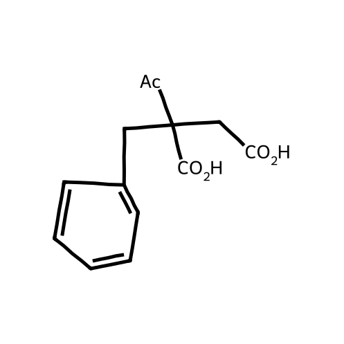 CC(=O)C(CC(=O)O)(Cc1ccccc1)C(=O)O